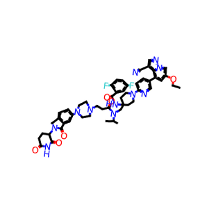 CCOc1cc(-c2ccc(N3CCC(CN(C(=O)CCN4CCN(c5ccc6c(c5)C(=O)N(C5CCC(=O)NC5=O)C6)CC4)C(C)C)(NC(=O)c4cc(F)ccc4F)CC3)nc2)c2c(C#N)cnn2c1